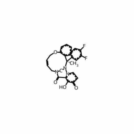 C[C@@]1(c2ccc(F)c(F)c2)c2ccccc2OC/C=C\CN2CN1n1ccc(=O)c(O)c1C2=O